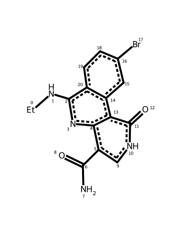 CCNc1nc2c(C(N)=O)c[nH]c(=O)c2c2cc(Br)ccc12